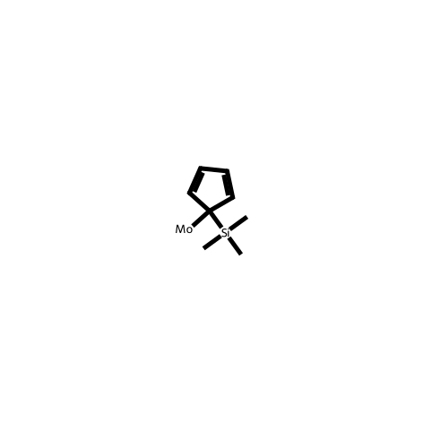 C[Si](C)(C)[C]1([Mo])C=CC=C1